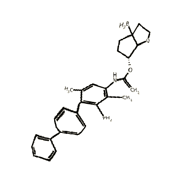 BC12CCOC1[C@H](OC(=C)Nc1cc(C)c(-c3ccc(-c4ccccc4)cc3)c(P)c1C)CC2